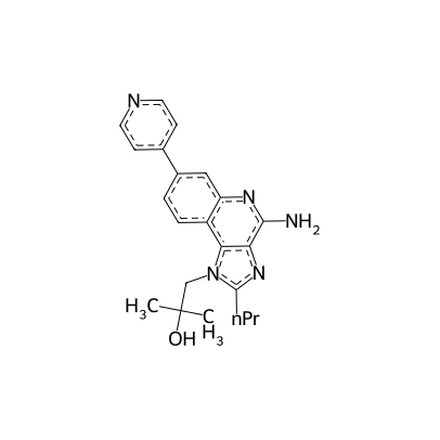 CCCc1nc2c(N)nc3cc(-c4ccncc4)ccc3c2n1CC(C)(C)O